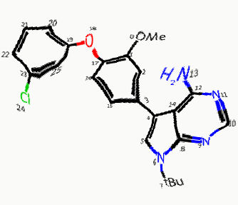 COc1cc(-c2cn(C(C)(C)C)c3ncnc(N)c23)ccc1Oc1cccc(Cl)c1